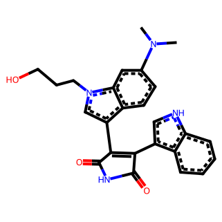 CN(C)c1ccc2c(C3=C(c4c[nH]c5ccccc45)C(=O)NC3=O)cn(CCCO)c2c1